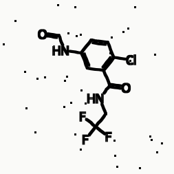 O=CNc1ccc(Cl)c(C(=O)NCC(F)(F)F)c1